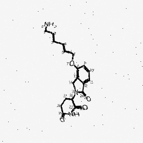 NCCCCCCOc1cccc2c1CN(C1CCC(=O)NC1=O)C2=O